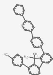 CC1(C)c2c(-c3ccc(C#N)cc3)cccc2-c2cccc(-c3ccc(-c4ccc(-c5ccccc5)nc4)cc3)c21